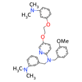 COc1cccc(CN(Cc2cccc(N(C)C)c2)c2ccc(OCCOc3cccc(N(C)C)c3)cn2)c1